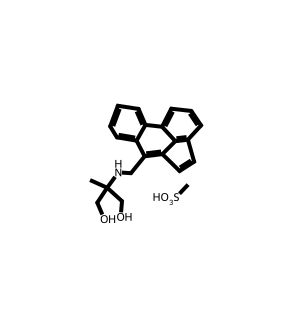 CC(CO)(CO)NCc1c2c3c(cccc3c3ccccc13)C=C2.CS(=O)(=O)O